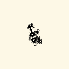 Fc1cc(C#CC2(C(F)F)CC2)cc(N(CC(F)F)c2nc3nncn3c3c(Cl)cc(F)cc23)c1